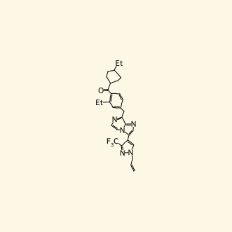 C=CCn1cc(-c2cnc3c(Cc4ccc(C(=O)C5CCC(CC)CC5)c(CC)c4)nccn23)c(C(F)(F)F)n1